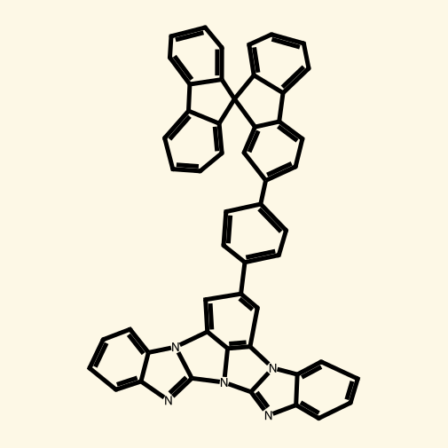 c1ccc2c(c1)-c1ccccc1C21c2ccccc2-c2ccc(-c3ccc(-c4cc5c6c(c4)n4c7ccccc7nc4n6c4nc6ccccc6n54)cc3)cc21